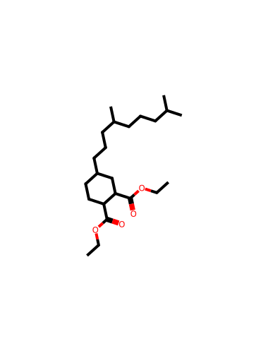 CCOC(=O)C1CCC(CCCC(C)CCCC(C)C)CC1C(=O)OCC